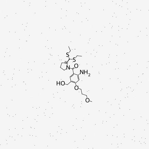 CCSC(SCC)[C@@H]1CCCN1C(=O)c1cc(CO)c(OCCCOC)cc1N